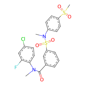 CN(C(=O)c1cccc(S(=O)(=O)N(C)c2ccc(S(C)(=O)=O)cc2)c1)c1ccc(Cl)cc1F